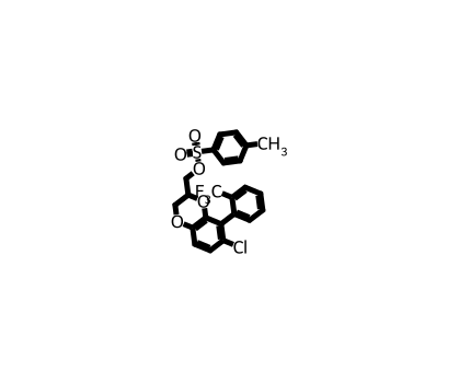 Cc1ccc(S(=O)(=O)OCC2COc3ccc(Cl)c(-c4ccccc4C(F)(F)F)c3O2)cc1